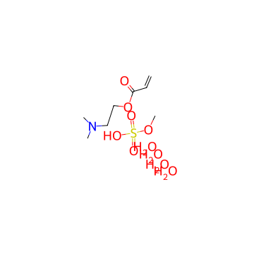 C=CC(=O)OCCN(C)C.COS(=O)(=O)O.O.O.O.O